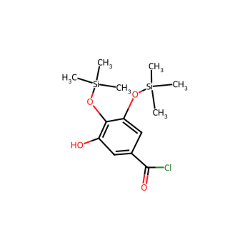 C[Si](C)(C)Oc1cc(C(=O)Cl)cc(O)c1O[Si](C)(C)C